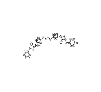 O=C(CCc1ccccc1)Nc1nnc(CCCCc2nnc(NC(=O)CCc3ccccc3)s2)s1